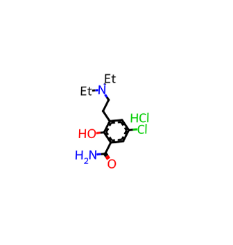 CCN(CC)CCc1cc(Cl)cc(C(N)=O)c1O.Cl